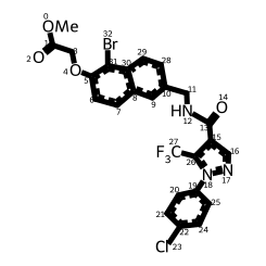 COC(=O)COc1ccc2cc(CNC(=O)c3cnn(-c4ccc(Cl)cc4)c3C(F)(F)F)ccc2c1Br